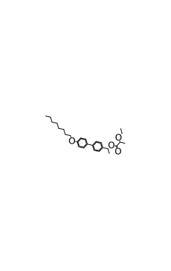 CCCCCCCCOc1ccc(-c2ccc(C(C)OC(=O)C(C)OCC)cc2)cc1